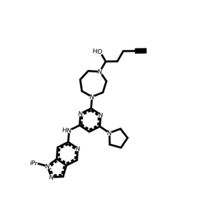 C#CCCC(O)N1CCCN(c2nc(Nc3cc4c(cn3)cnn4C(C)C)cc(N3CCCC3)n2)CC1